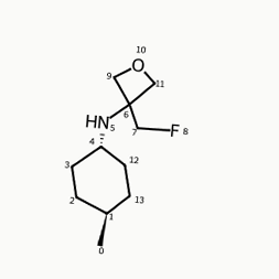 C[C@H]1CC[C@H](NC2(CF)COC2)CC1